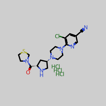 Cl.Cl.Cl.N#Cc1cnc(N2CCN([C@@H]3CN[C@H](C(=O)N4CCSC4)C3)CC2)c(Cl)c1